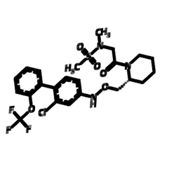 CN(CC(=O)N1CCCC[C@@H]1CONc1ccc(-c2ccccc2OC(F)(F)F)c(Cl)c1)S(C)(=O)=O